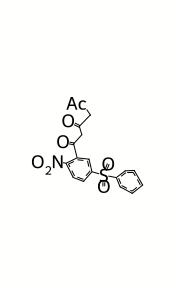 CC(=O)CC(=O)CC(=O)c1cc(S(=O)(=O)c2ccccc2)ccc1[N+](=O)[O-]